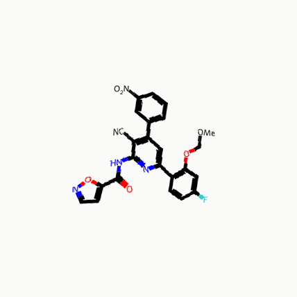 COCOc1cc(F)ccc1-c1cc(-c2cccc([N+](=O)[O-])c2)c(C#N)c(NC(=O)c2ccno2)n1